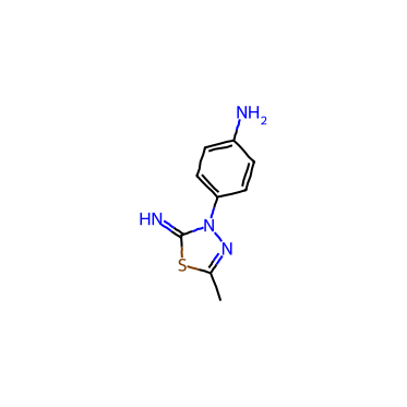 Cc1nn(-c2ccc(N)cc2)c(=N)s1